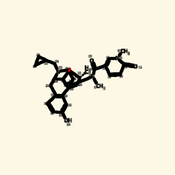 C[C@H]1CC23CCC(N(C)C(=O)c4ccc(=O)n(C)c4)C1C21CCN(CC2CC2)C3Cc2ccc(O)cc21